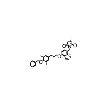 Cc1cc(CCCOc2ccc(CN3C(=O)CSC3=O)c3sccc23)cc(C)c1OCc1ccccc1